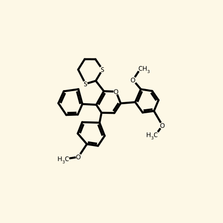 COc1ccc(C2C=C(c3cc(OC)ccc3OC)OC(C3SCCCS3)=C2c2ccccc2)cc1